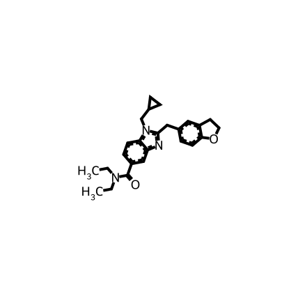 CCN(CC)C(=O)c1ccc2c(c1)nc(Cc1ccc3c(c1)CCO3)n2CC1CC1